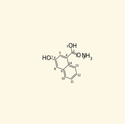 N.O=C(O)c1cc(O)cc2ccccc12